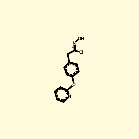 O/N=C(\Cl)Cc1ccc(Oc2ccccn2)cc1